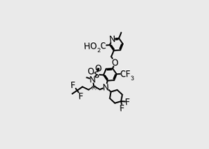 Cc1ccc(COc2cc3c(cc2C(F)(F)F)N(C2CCC(F)(F)CC2)C[C@@H](CCC(C)(F)F)N(C)S3(=O)=O)c(C(=O)O)n1